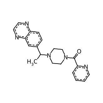 CC(c1ccc2nccnc2c1)N1CCN(C(=O)c2ccccn2)CC1